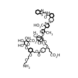 Cc1c(-c2ccc(N3CCc4cccc(C(=O)Nc5nc6ccccc6s5)c4C3)nc2C(=O)O)cnn1CC12CC3(C)C[C@@](C)(C1)C[C@@](OCCN(CCCC(=O)O)C1CCN(C(=O)OCc4ccc(O[C@H]5OC(C(=O)O)=C(O)C(O)=C5O)cc4OCCOCCN)CC1)(C3)C2